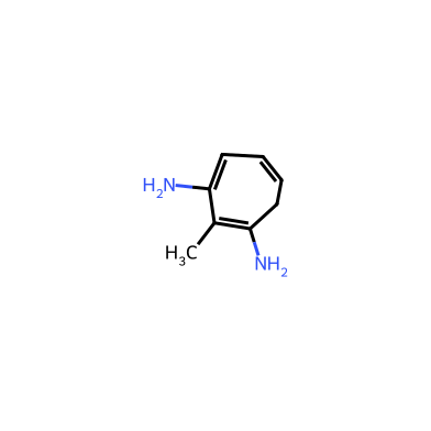 CC1=C(N)CC=CC=C1N